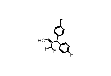 OC=C(C(F)F)C(c1ccc(F)cc1)c1ccc(F)cc1